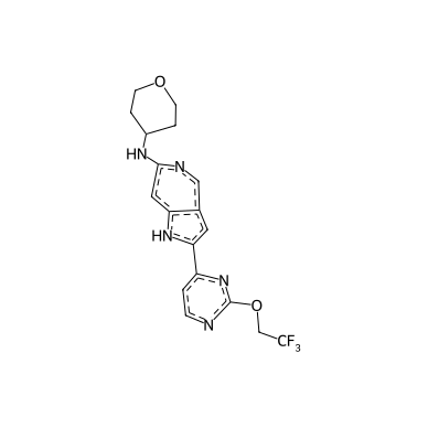 FC(F)(F)COc1nccc(-c2cc3cnc(NC4CCOCC4)cc3[nH]2)n1